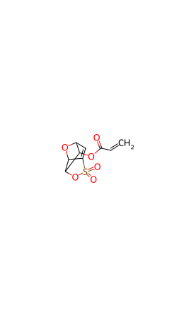 C=CC(=O)OC1C2C=C3C(O2)C1OS3(=O)=O